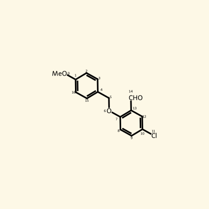 COc1ccc(COc2ccc(Cl)cc2C=O)cc1